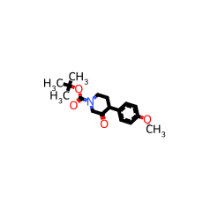 COc1ccc(C2CCN(C(=O)OC(C)(C)C)CC2=O)cc1